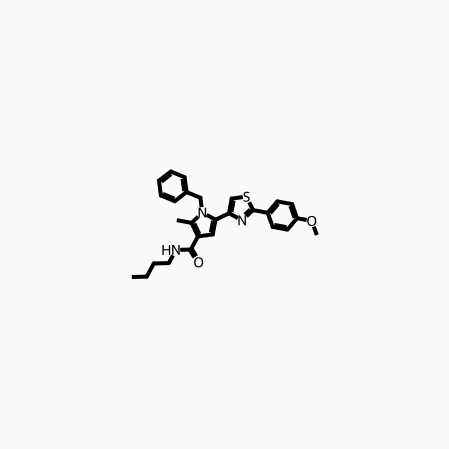 CCCCNC(=O)c1cc(-c2csc(-c3ccc(OC)cc3)n2)n(Cc2ccccc2)c1C